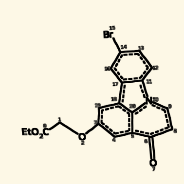 CCOC(=O)COc1cc2c(=O)ccn3c4ccc(Br)cc4c(c1)c23